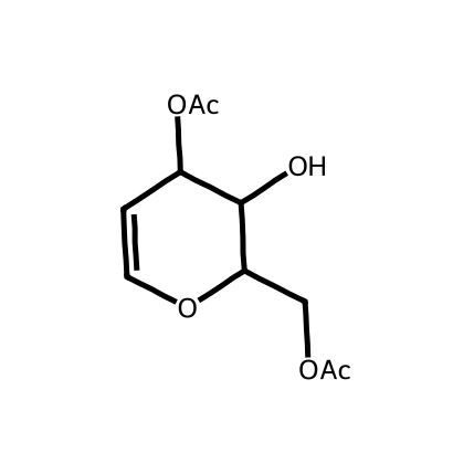 CC(=O)OCC1OC=CC(OC(C)=O)C1O